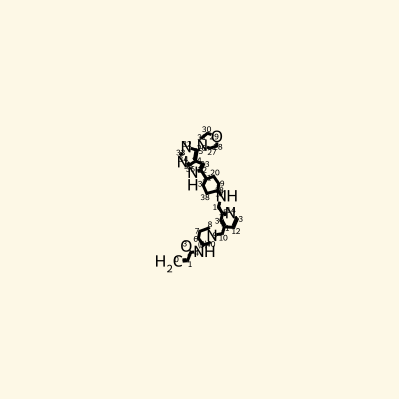 C=CC(=O)N[C@@H]1CCCN(Cc2ccnc(CNC3CCC(c4cc5c(N6CCOCC6)ncnc5[nH]4)CC3)c2)C1